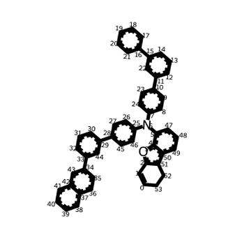 C1=Cc2oc3c(N(c4ccc(-c5cccc(-c6ccccc6)c5)cc4)c4ccc(-c5cccc(-c6ccc7ccccc7c6)c5)cc4)cccc3c2CC1